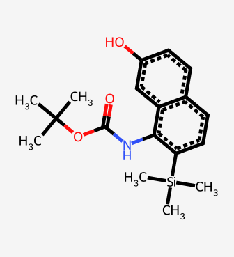 CC(C)(C)OC(=O)Nc1c([Si](C)(C)C)ccc2ccc(O)cc12